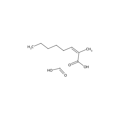 CCCCCC=C(C)C(=O)O.O=[C]O